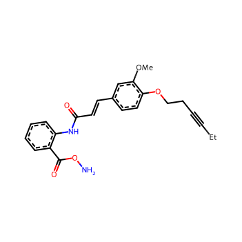 CCC#CCCOc1ccc(/C=C/C(=O)Nc2ccccc2C(=O)ON)cc1OC